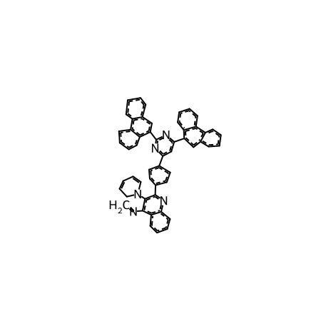 C=Nc1c(N2C=CC=CC2)c(-c2ccc(-c3cc(-c4cc5ccccc5c5ccccc45)nc(-c4cc5ccccc5c5ccccc45)n3)cc2)nc2ccccc12